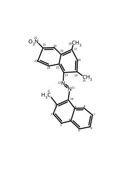 Cc1ccc2ccccc2c1/N=N/c1c(C)cc(C)c2cc([N+](=O)[O-])ccc12